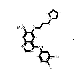 COc1cc2ncnc(Nc3ccc(F)c(Cl)c3)c2cc1OCCCN1CCCC1